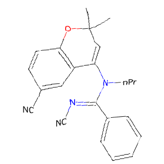 CCCN(C1=CC(C)(C)Oc2ccc(C#N)cc21)C(=NC#N)c1ccccc1